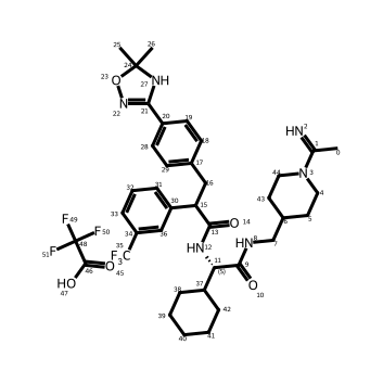 CC(=N)N1CCC(CNC(=O)[C@@H](NC(=O)C(Cc2ccc(C3=NOC(C)(C)N3)cc2)c2cccc(C(F)(F)F)c2)C2CCCCC2)CC1.O=C(O)C(F)(F)F